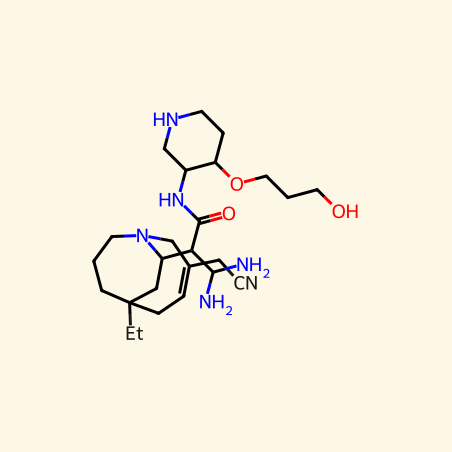 CCC12C/C=C(/CC#N)CN(CCC1)C(C(C(=O)NC1CNCCC1OCCCO)C(N)N)C2